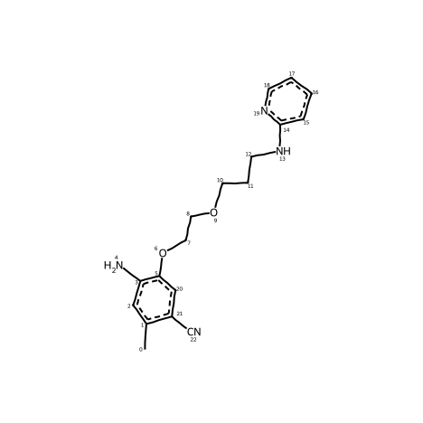 Cc1cc(N)c(OCCOCCCNc2ccccn2)cc1C#N